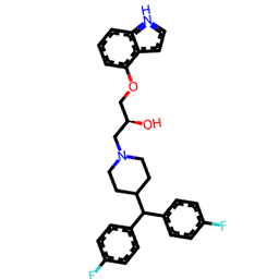 O[C@H](COc1cccc2[nH]ccc12)CN1CCC(C(c2ccc(F)cc2)c2ccc(F)cc2)CC1